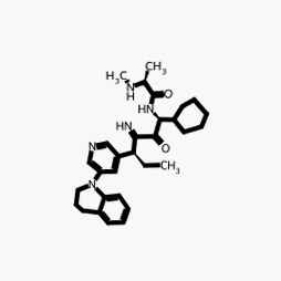 CC[C@H](C(=N)C(=O)[C@@H](NC(=O)[C@H](C)NC)C1CCCCC1)c1cncc(N2CCCc3ccccc32)c1